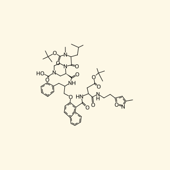 Cc1cc(CCNC(=O)C(CC(=O)OC(C)(C)C)NC(=O)c2c(OCC(Cc3ccccc3)NC(=O)[C@H]3CN(C(=O)O)CCN3C(=O)C(CC(C)C)N(C)C(=O)OC(C)(C)C)ccc3ccccc23)on1